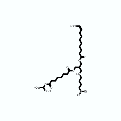 CCCCCCCC/C=C\CCCCCCCC(=O)OCC(CNCCCCN(CC)CC)COC(=O)CCCCCCC(=O)OC(CCCCCCCC)CCCCCCCC